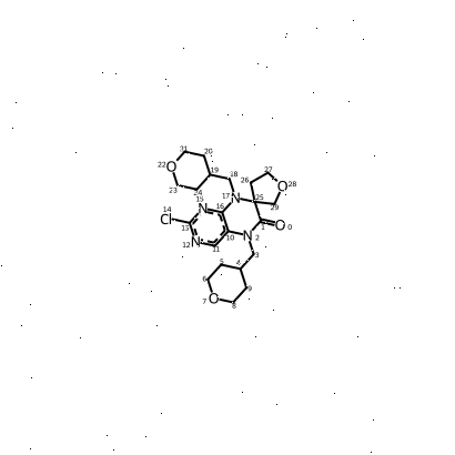 O=C1N(CC2CCOCC2)c2cnc(Cl)nc2N(CC2CCOCC2)C12CCOC2